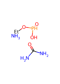 CCO[PH](=O)O.N.NC(N)=O